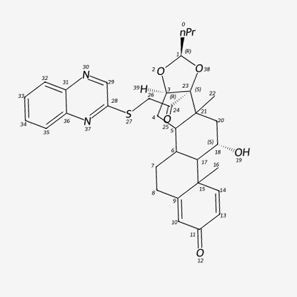 CCC[C@@H]1O[C@@H]2CC3C4CCC5=CC(=O)C=CC5(C)C4[C@@H](O)CC3(C)[C@]2(C(=O)CSc2cnc3ccccc3n2)O1